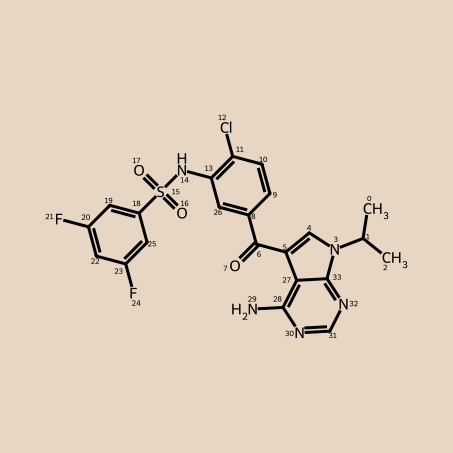 CC(C)n1cc(C(=O)c2ccc(Cl)c(NS(=O)(=O)c3cc(F)cc(F)c3)c2)c2c(N)ncnc21